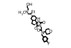 CCC(CN(C)CCO)[C@@H]1CCC2C(CC[C@]23NC(=O)N(CC(=O)N(Cc2ccc(F)cc2)C2CCOCC2)C3=O)C1